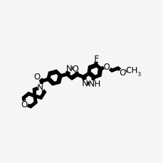 COCCOc1cc2[nH]nc(-c3cc(-c4ccc(C(=O)N5CCC6(CCOCC6)C5)cc4)no3)c2cc1F